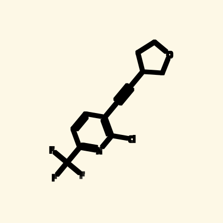 FC(F)(F)c1ccc(C#CC2CCOC2)c(Cl)n1